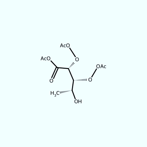 CC(=O)OO[C@H]([C@@H](C)O)[C@@H](OOC(C)=O)C(=O)OC(C)=O